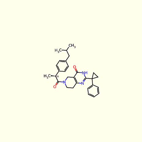 CC(C)Cc1ccc([C@H](C)C(=O)N2CCc3nc(C4(c5ccccc5)CC4)[nH]c(=O)c3C2)cc1